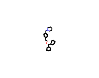 c1ccc(C(OCCc2ccc(CN3CCCCC3)cc2)c2ccccc2)cc1